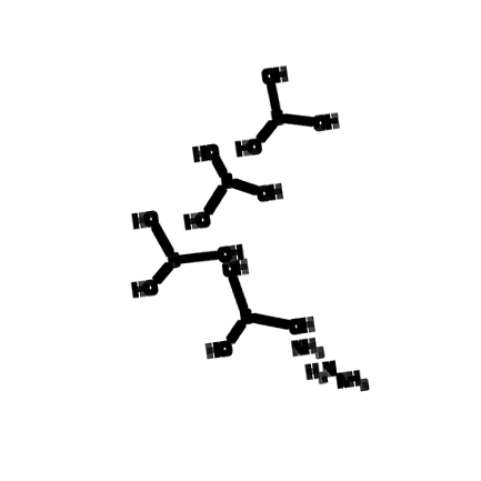 N.N.N.OB(O)O.OB(O)O.OB(O)O.OB(O)O